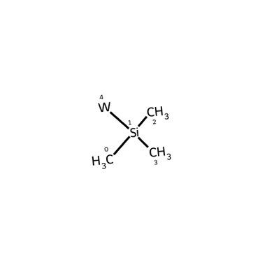 C[Si](C)(C)[W]